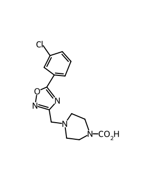 O=C(O)N1CCN(Cc2noc(-c3cccc(Cl)c3)n2)CC1